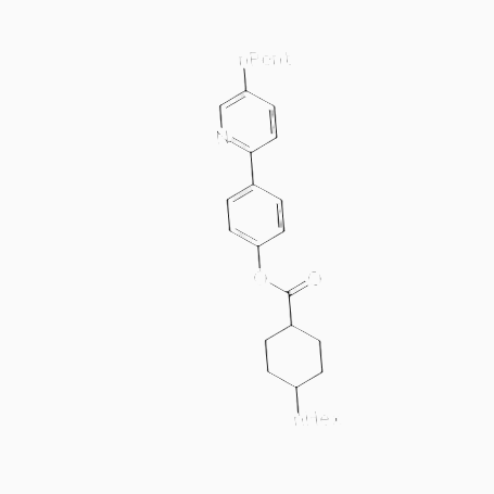 CCCCCCC1CCC(C(=O)Oc2ccc(-c3ccc(CCCCC)cn3)cc2)CC1